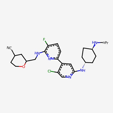 CCCN[C@H]1CC[C@H](Nc2cc(-c3ccc(F)c(NCC4CC(C#N)CCO4)n3)c(Cl)cn2)CC1